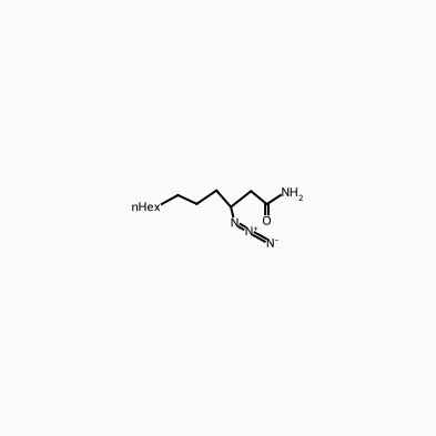 CCCCCCCCCC(CC(N)=O)N=[N+]=[N-]